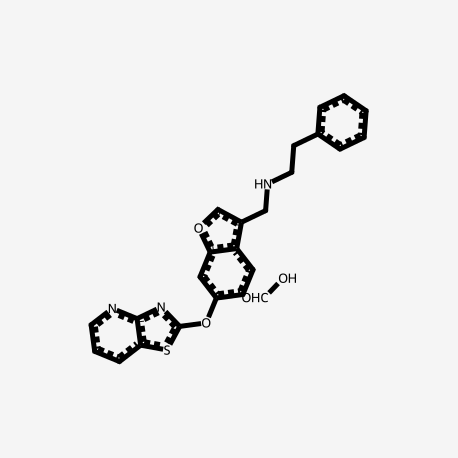 O=CO.c1ccc(CCNCc2coc3cc(Oc4nc5ncccc5s4)ccc23)cc1